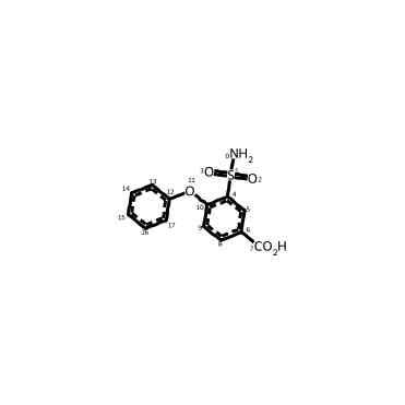 NS(=O)(=O)c1cc(C(=O)O)ccc1Oc1ccccc1